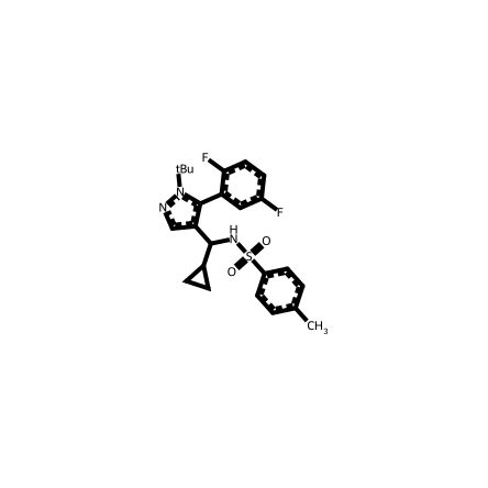 Cc1ccc(S(=O)(=O)NC(c2cnn(C(C)(C)C)c2-c2cc(F)ccc2F)C2CC2)cc1